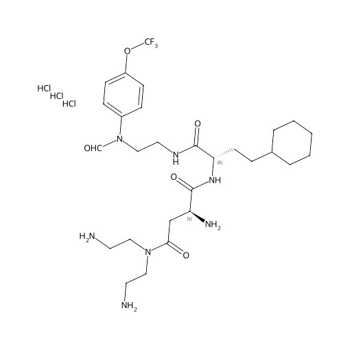 Cl.Cl.Cl.NCCN(CCN)C(=O)C[C@H](N)C(=O)N[C@@H](CCC1CCCCC1)C(=O)NCCN(C=O)c1ccc(OC(F)(F)F)cc1